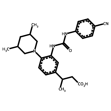 CC1CC(C)CN(c2ccc(C(C)CC(=O)O)cc2NC(=O)Nc2ccc(C#N)cc2)C1